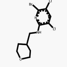 Clc1cc(Cl)c(NCC2CCOCC2)nc1Br